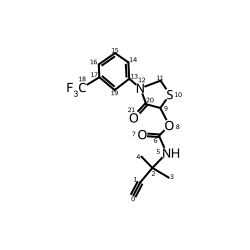 C#CC(C)(C)NC(=O)OC1SCN(c2cccc(C(F)(F)F)c2)C1=O